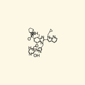 COc1cc(C(=O)N2CC3CCC2[C@@H]3N)cc2nc(-c3cc4cccnc4n3CC3CC3)n(Cc3cnn(-c4cccnc4O)c3)c12